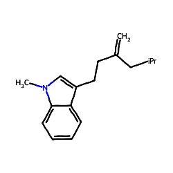 C=C(CCc1cn(C)c2ccccc12)CC(C)C